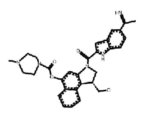 CC(=N)c1ccc2[nH]c(C(=O)N3C[C@@H](CCl)c4c3cc(OC(=O)N3CCN(C)CC3)c3ccccc43)cc2c1